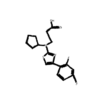 O=C(O)CCN(c1nc(-c2ccc(F)cc2F)cs1)C1CCCC1